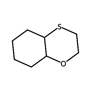 C1CCC2SCCOC2C1